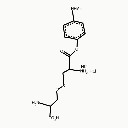 CC(=O)Nc1ccc(OC(=O)C(N)CSSCC(N)C(=O)O)cc1.Cl.Cl